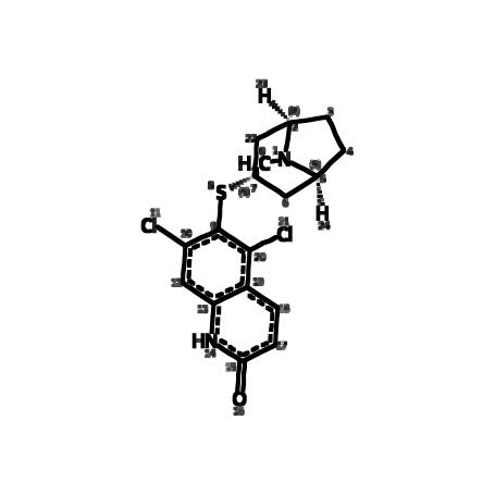 CN1[C@@H]2CC[C@H]1C[C@H](Sc1c(Cl)cc3[nH]c(=O)ccc3c1Cl)C2